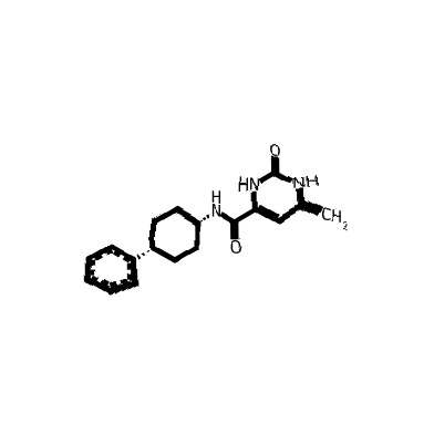 C=C1C=C(C(=O)N[C@H]2CC[C@@H](c3ccccc3)CC2)NC(=O)N1